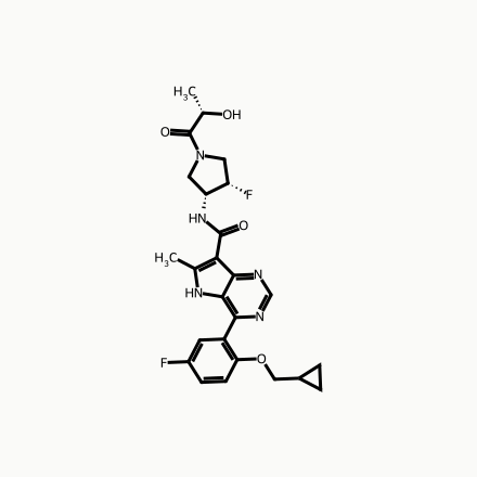 Cc1[nH]c2c(-c3cc(F)ccc3OCC3CC3)ncnc2c1C(=O)N[C@@H]1CN(C(=O)[C@H](C)O)C[C@@H]1F